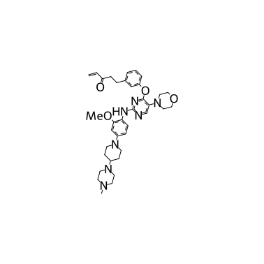 C=CC(=O)CCc1cccc(Oc2nc(Nc3ccc(N4CCC(N5CCN(C)CC5)CC4)cc3OC)ncc2N2CCOCC2)c1